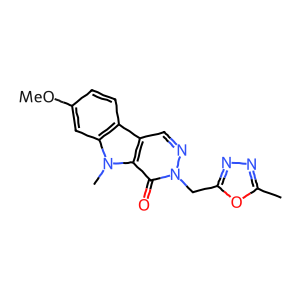 COc1ccc2c3cnn(Cc4nnc(C)o4)c(=O)c3n(C)c2c1